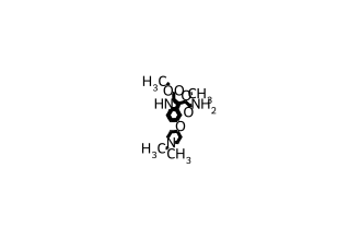 CCOC(=O)c1[nH]c2ccc(OC3CCN(C(C)C)CC3)cc2c1C(OC)C(N)=O